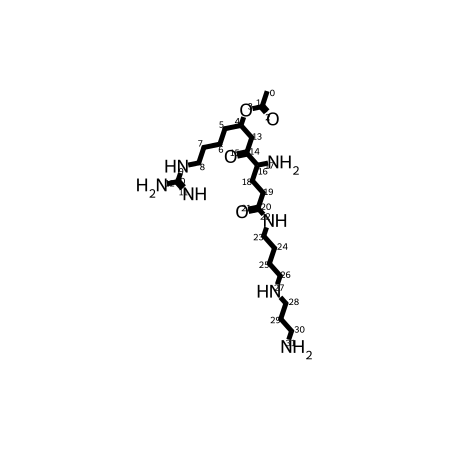 CC(=O)OC(CCCCNC(=N)N)CC(=O)C(N)CCC(=O)NCCCCNCCCN